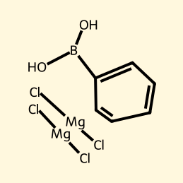 OB(O)c1ccccc1.[Cl][Mg][Cl].[Cl][Mg][Cl]